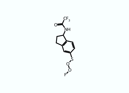 O=C(NC1CCc2cc(SOOF)ccc21)C(F)(F)F